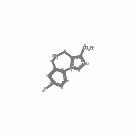 CCOC(=O)c1ncn2c1CNCc1cc(F)ccc1-2